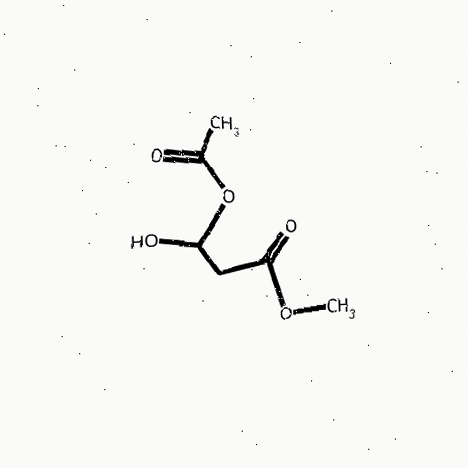 COC(=O)CC(O)OC(C)=O